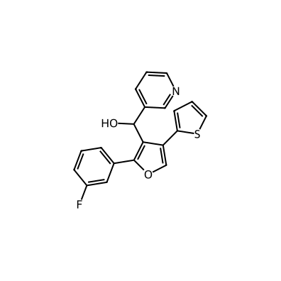 OC(c1cccnc1)c1c(-c2cccs2)coc1-c1cccc(F)c1